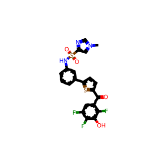 Cn1cnc(S(=O)(=O)Nc2cccc(-c3ccc(C(=O)c4cc(F)c(F)c(O)c4F)s3)c2)c1